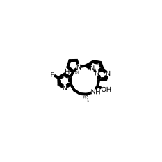 C[C@@H]1CCc2ncc(F)cc2[C@@H]2CCCN2c2ccc3ncc(n3n2)C(O)N1